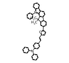 CC1(C)c2cc(-c3ccc(/C=C/c4ccc(N(c5ccccc5)c5ccccc5)cc4)o3)ccc2-c2ccc3c4ccccc4n(-c4ccccc4)c3c21